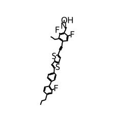 CCCc1ccc(-c2ccc(-c3cc4sc(C#Cc5cc(F)c(/C=N/O)c(F)c5CC)cc4s3)cc2)c(F)c1